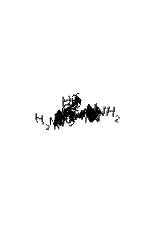 COP(O)(=S)OC[C@H]1O[C@@H](n2ccc3c(N)ncnc32)[C@@H](F)[C@@H]1OP(O)(=S)OC[C@H]1C[C@@H](n2cnc3c(N)ncnc32)C1